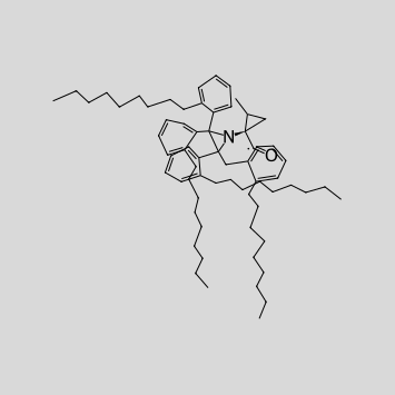 CCCCCCCCCc1ccccc1CC1(c2ccccc2CCCCCCCCC)N([C@]2([C]=O)CC2C)C1(c1ccccc1CCCCCCCCC)c1ccccc1CCCCCCCCC